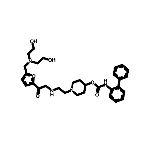 O=C(Nc1ccccc1-c1ccccc1)OC1CCN(CCNCC(=O)c2ccc(CN(CCO)CCO)o2)CC1